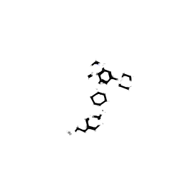 C=Nc1c(/N=C\C)cc(N2CCOCC2)cc1O[C@H]1CC[C@@H](Nc2ncc(CCOCC)cn2)CC1